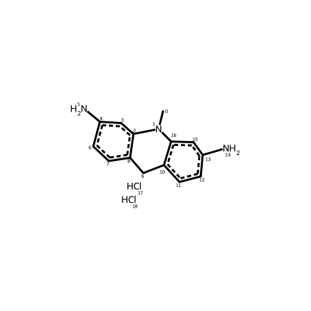 CN1c2cc(N)ccc2Cc2ccc(N)cc21.Cl.Cl